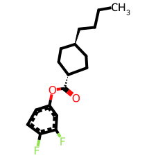 CCCC[C@H]1CC[C@H](C(=O)Oc2ccc(F)c(F)c2)CC1